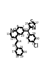 Clc1ccc(C(c2ccc3nccc(C=Cc4ccccc4)c3c2)c2cscn2)cc1